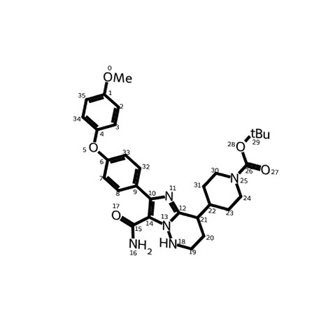 COc1ccc(Oc2ccc(-c3nc4n(c3C(N)=O)NCCC4C3CCN(C(=O)OC(C)(C)C)CC3)cc2)cc1